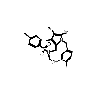 Cc1ccc(S(=O)(=O)N(CC=O)Cc2c(C)c(Br)c(Br)n2Cc2ccc(F)cc2)cc1